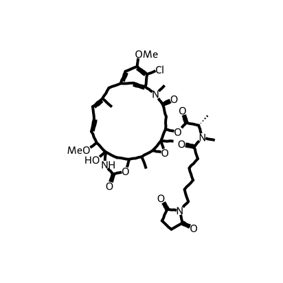 COc1cc2cc(c1Cl)N(C)C(=O)CC(OC(=O)[C@H](C)N(C)C(=O)CCCCCN1C(=O)CCC1=O)C1(C)OC1C(C)C1CC(O)(NC(=O)O1)C(OC)/C=C/C=C(\C)C2